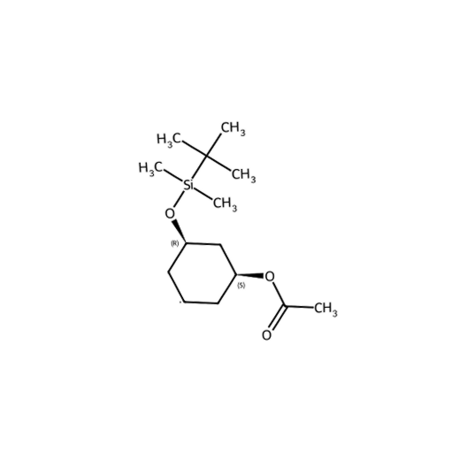 CC(=O)O[C@H]1C[CH]C[C@@H](O[Si](C)(C)C(C)(C)C)C1